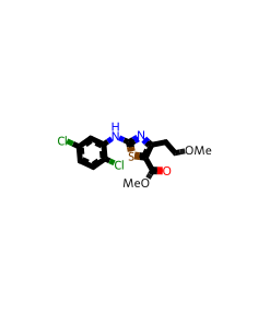 COCCc1nc(Nc2cc(Cl)ccc2Cl)sc1C(=O)OC